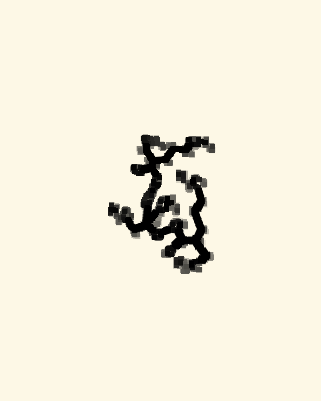 CCCCC(CC)C(=O)OOC(C)(CC)OOC(=O)C(CC)CCCC